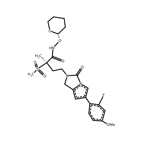 COc1ccc(-c2cc3n(c2)C(=O)N(CC[C@](C)(C(=O)NO[C@H]2CCCCO2)S(C)(=O)=O)C3)c(F)c1